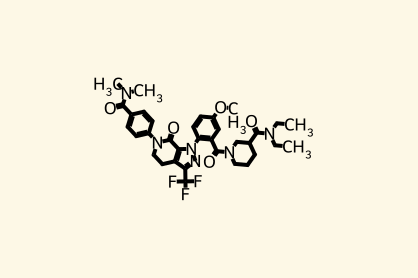 CCN(CC)C(=O)C1CCCN(C(=O)c2cc(OC)ccc2-n2nc(C(F)(F)F)c3c2C(=O)N(c2ccc(C(=O)N(C)C)cc2)CC3)C1